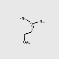 CCC[CH2][SnH]([CH2]CCC)[CH2]COC(C)=O